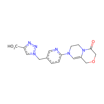 O=C(O)c1cn(Cc2ccc(N3C=C4COCC(=O)N4CC3)nc2)nn1